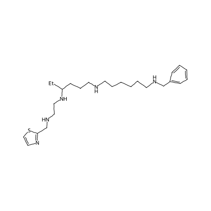 [CH2]CC(CCCNCCCCCCNCc1ccccc1)NCCNCc1nccs1